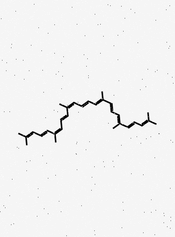 CC(C)=CC=CC(C)=CC=CC(C)=CC=CC=C(C)C=CC=C(C)C=CC=C(C)C